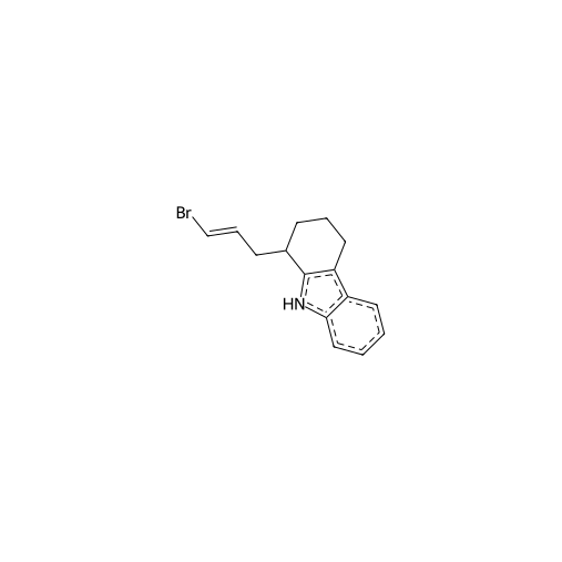 BrC=CCC1CCCc2c1[nH]c1ccccc21